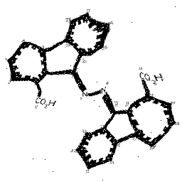 O=C(O)c1cccc2c1C(=NN=C1c3ccccc3-c3cccc(C(=O)O)c31)c1ccccc1-2